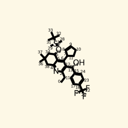 CCc1nc2c(c(C3C=CCC3)c1[C@H](O)c1ccc(C(F)(F)F)cc1)C(O[Si](C)(C)C(C)(C)C)CC(C)(C)C2